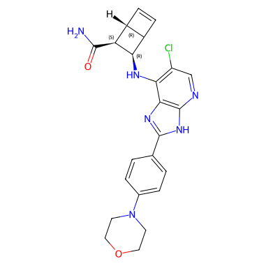 NC(=O)[C@H]1[C@@H]2C=CC2[C@H]1Nc1c(Cl)cnc2[nH]c(-c3ccc(N4CCOCC4)cc3)nc12